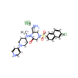 CN(C1CCN(c2ccncc2)CC1)N1C(=O)CN(S(=O)(=O)c2ccc3cc(Cl)ccc3c2)CC1CN.Cl.Cl